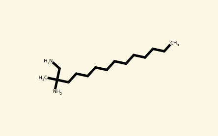 CCCCCCCCCCCCC(C)(N)CN